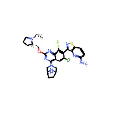 CN1CCC[C@H]1COc1nc(N2CC3CCC(C2)N3)c2cc(Cl)c(-c3nsc4ccc(N)nc34)c(F)c2n1